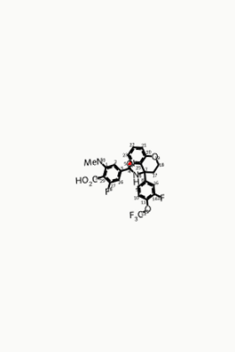 CNc1cc(C(=O)NC2(c3ccc(OC(F)(F)F)c(F)c3)CCOc3cccnc32)cc(F)c1C(=O)O